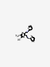 N#Cc1nc(/C=C/c2ccccn2)c(/C=C/c2ccccn2)nc1C#N